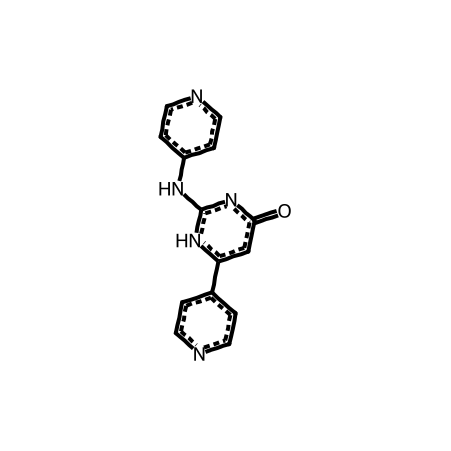 O=c1cc(-c2ccncc2)[nH]c(Nc2ccncc2)n1